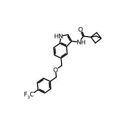 O=C(Nc1c[nH]c2ccc(COCc3ccc(C(F)(F)F)cc3)cc12)C12CC(C1)C2